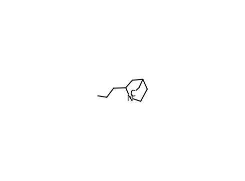 CCCC1CC2CCN1CC2